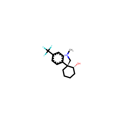 CNC[C@]1(c2ccc(C(F)(F)F)cc2)CCCC[C@H]1O